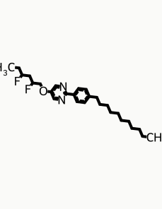 CCCCCCCCCCCc1ccc(-c2ncc(OCC(F)CC(F)CC)cn2)cc1